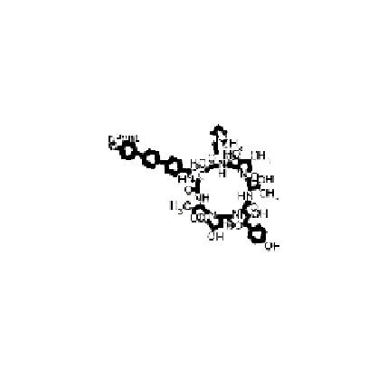 CCCCCOc1ccc(-c2ccc(-c3ccc(C(=O)N[C@H]4C[C@@H](O)[C@@H](OCC[N+]5(C)CCC5)NC(=O)[C@@H]5[C@@H](O)[C@@H](C)CN5C(=O)[C@H]([C@@H](C)O)NC(=O)[C@H]([C@H](O)C(O)c5ccc(O)cc5)NC(=O)[C@@H]5C[C@@H](O)CN5C(=O)[C@H]([C@@H](C)O)NC4=O)cc3)cc2)cc1